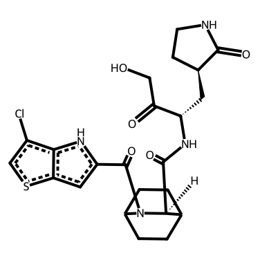 O=C1NCC[C@@H]1C[C@H](NC(=O)[C@H]1C2CCC(CC2)N1C(=O)c1cc2scc(Cl)c2[nH]1)C(=O)CO